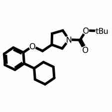 CC(C)(C)OC(=O)N1CCC(COc2ccccc2C2CCCCC2)C1